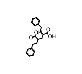 O=C(O)C(CCc1ccccc1)CC(CCc1ccccc1)C(=O)O